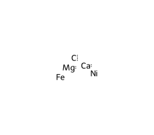 [C].[Ca].[Fe].[Mg].[Ni]